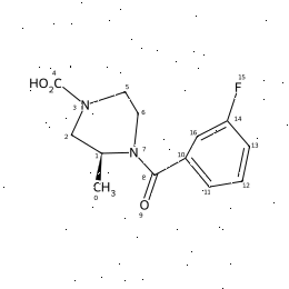 C[C@H]1CN(C(=O)O)CCN1C(=O)c1cccc(F)c1